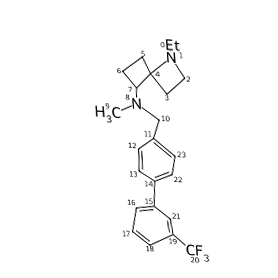 CCN1CCC12CCC2N(C)Cc1ccc(-c2cccc(C(F)(F)F)c2)cc1